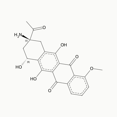 COc1cccc2c1C(=O)c1c(O)c3c(c(O)c1C2=O)[C@H](O)C[C@](N)(C(C)=O)C3